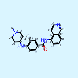 CN1CCC(Nc2ccc(C(=O)Nc3cccc4cnccc34)cc2C(F)(F)F)CC1